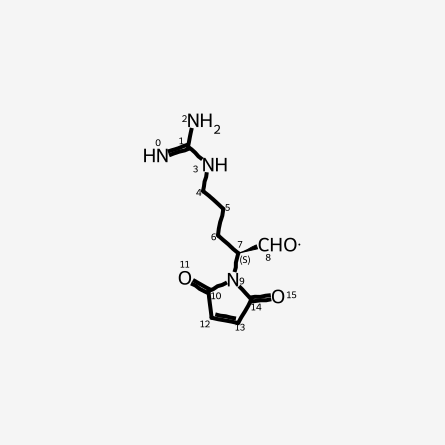 N=C(N)NCCC[C@@H]([C]=O)N1C(=O)C=CC1=O